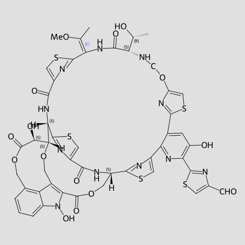 CO/C(C)=C1/NC(=O)[C@H]([C@@H](C)O)NCOc2csc(n2)-c2cc(O)c(-c3nc(C=O)cs3)nc2-c2csc(n2)[C@@H]2COC(=O)c3c4c5c(cccc5n3O)COC(=O)[C@@H](O)[C@@H](OC4)[C@H](NC(=O)c3csc1n3)c1nc(cs1)C(=O)N2